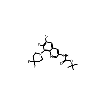 CC(C)(C)OC(=O)Nc1cnc2c(N3CCC(F)(F)CC3)c(F)c(Br)cc2c1